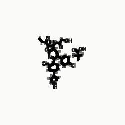 CCC(=O)c1oc2nc(-c3ccc(-c4cn[nH]c4)cc3Cl)c(-c3ccc(Cl)cc3)cc2c1NC(=O)CO.O=C(O)C(F)(F)F